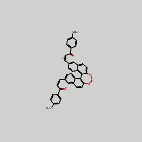 COc1ccc(C(=O)/C=C\c2ccc3c4c(ccc3c2)OCOc2ccc3cc(/C=C\C(=O)c5ccc(OC)cc5)ccc3c2-4)cc1